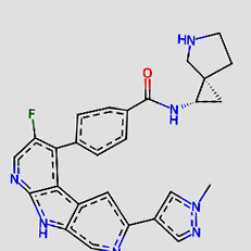 Cn1cc(-c2cc3c(cn2)[nH]c2ncc(F)c(-c4ccc(C(=O)N[C@H]5C[C@]56CCNC6)cc4)c23)cn1